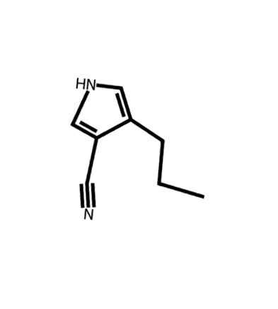 CCCc1c[nH]cc1C#N